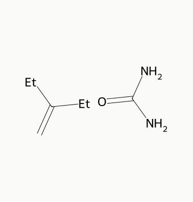 C=C(CC)CC.NC(N)=O